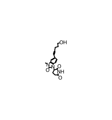 Cn1c(=O)n(C2CCC(=O)NC2=O)c2ccc(C#CCCCO)cc21